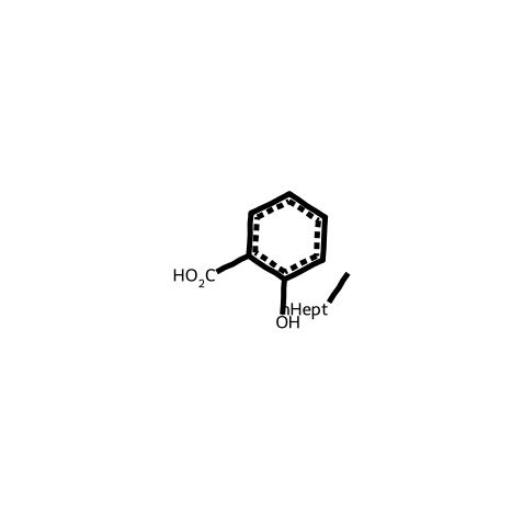 CCCCCCCC.O=C(O)c1ccccc1O